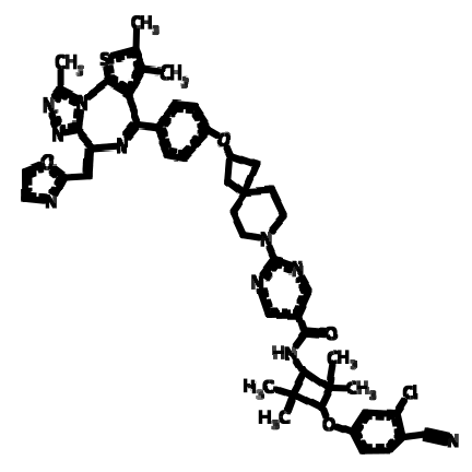 Cc1sc2c(c1C)C(c1ccc(OC3CC4(CCN(c5ncc(C(=O)NC6C(C)(C)C(Oc7ccc(C#N)c(Cl)c7)C6(C)C)cn5)CC4)C3)cc1)=N/C(=C/c1ncco1)c1nnc(C)n1-2